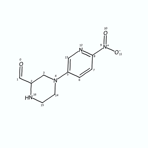 O=CC1CN(c2ccc([N+](=O)[O-])nc2)CCN1